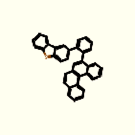 c1ccc(-c2cc3ccc4ccccc4c3c3ccccc23)c(-c2ccc3sc4ccccc4c3c2)c1